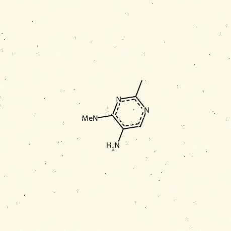 CNc1nc(C)ncc1N